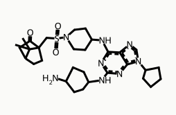 CC1(C)C2CCC1(CS(=O)(=O)N1CCC(Nc3nc(NC4CCC(N)CC4)nc4c3ncn4C3CCCC3)CC1)C(=O)C2